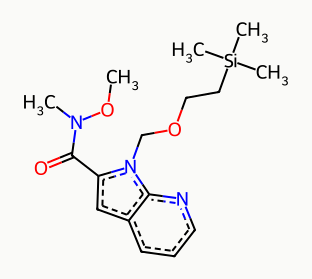 CON(C)C(=O)c1cc2cccnc2n1COCC[Si](C)(C)C